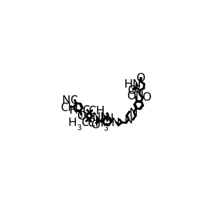 CC1(C)[C@H](NC(=O)c2ccc(N3CC(CN4CCN(c5ccc6c(c5)C(=O)N(C5CCC(=O)NC5=O)C6=O)CC4)C3)nn2)C(C)(C)[C@H]1Oc1ccc(C#N)c(Cl)c1